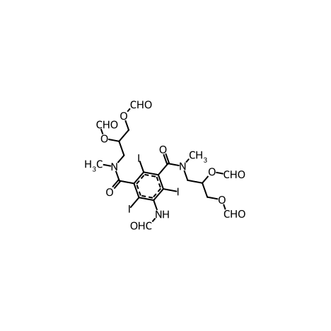 CN(CC(COC=O)OC=O)C(=O)c1c(I)c(NC=O)c(I)c(C(=O)N(C)CC(COC=O)OC=O)c1I